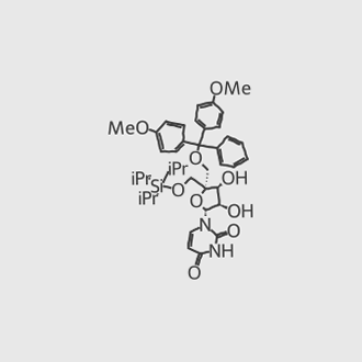 COc1ccc(C(OC[C@@]2(CO[Si](C(C)C)(C(C)C)C(C)C)O[C@@H](n3ccc(=O)[nH]c3=O)[C@H](O)[C@@H]2O)(c2ccccc2)c2ccc(OC)cc2)cc1